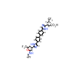 CC(C)CNC(=O)C[C@@H](CCC(F)(F)F)c1ncc(-c2ccc(-c3ccc(-c4cnc([C@H](CCC(F)(F)F)CC(=O)O)[nH]4)cc3)cc2)[nH]1